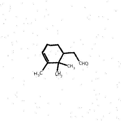 CC1=CCCC(CC=O)C1(C)C